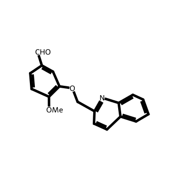 COc1ccc(C=O)cc1OCc1ccc2ccccc2n1